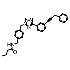 CCCC(=O)NCc1ccc(Cn2nnc(-c3cccc(C#CCc4ccccc4)c3)n2)cc1